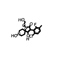 Cc1ccc(Cl)c(C2=C(O)C3(CCN(O)CC3)N(OCO)C2=O)c1F